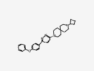 c1ccc(Oc2ccc(-c3ccc(N4CCC5(CC4)CCN(C4CCC4)CC5)nn3)cc2)cc1